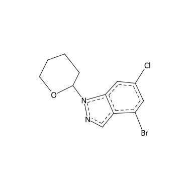 Clc1cc(Br)c2cnn(C3CCCCO3)c2c1